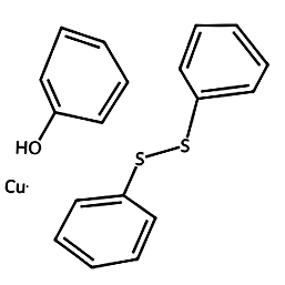 Oc1ccccc1.[Cu].c1ccc(SSc2ccccc2)cc1